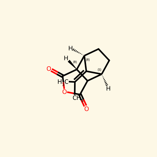 CC(C)=C1[C@H]2CC[C@@H]1[C@H]1C(=O)OC(=O)C21